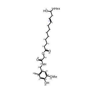 CCCCCCC(O)C/C=C/CCCCCCCC(=O)OCC(=O)NCc1cc(OC)c(O)cc1I